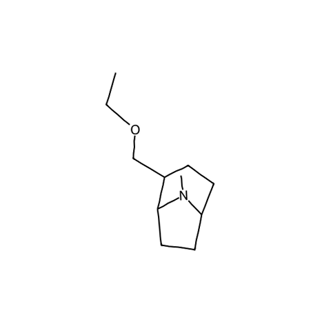 CCOCC1CCC2CCC1N2C